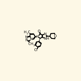 Cc1cc(N2C(=O)c3nc(C4CCOCC4)[nH]c3[C@H]2c2ccc(Cl)cc2)cn2c(C)nnc12